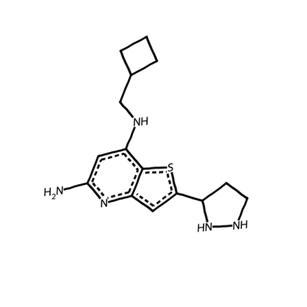 Nc1cc(NCC2CCC2)c2sc(C3CCNN3)cc2n1